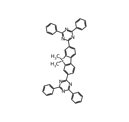 CS1(C)c2cc(-c3nc(-c4ccccc4)nc(-c4ccccc4)n3)ccc2-c2ccc(-c3nc(-c4ccccc4)nc(-c4ccccc4)n3)cc21